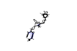 C=C/C=C\C(=C/C)COC/C(I)=C(\Br)COCc1ccccc1